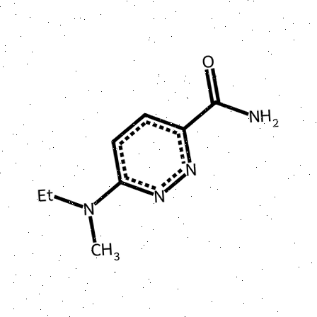 CCN(C)c1ccc(C(N)=O)nn1